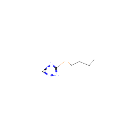 CCCCPc1nc[nH]n1